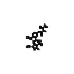 CCCc1nc(C)c2c(=O)[nH]c(-c3cc(CNC(C)C(=O)N(C)C)ccc3OCC)nn12